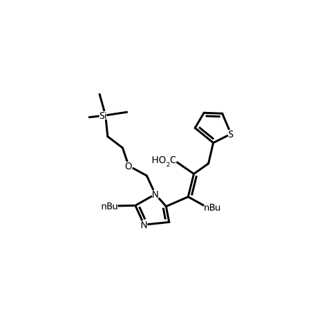 CCCC/C(=C(\Cc1cccs1)C(=O)O)c1cnc(CCCC)n1COCC[Si](C)(C)C